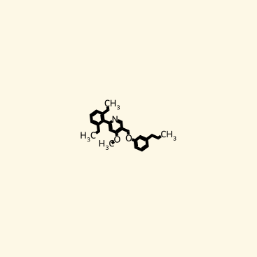 CCCc1cccc(OCc2cnc(-c3c(CC)cccc3CC)cc2OC)c1